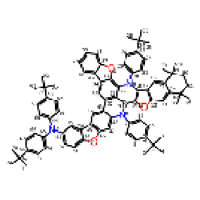 CC(C)(C)c1ccc(N2B3c4oc5cc6c(cc5c4N(c4ccc(C(C)(C)C)cc4)c4c3c(cc3c4oc4ccccc43)-c3cc4c(cc32)oc2ccc(N(c3ccc(C(C)(C)C)cc3)c3ccc(C(C)(C)C)cc3)cc24)C(C)(C)CCC6(C)C)cc1